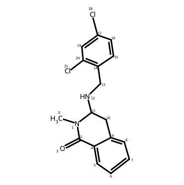 CN1C(=O)c2ccccc2CC1NCc1ccc(Cl)cc1Cl